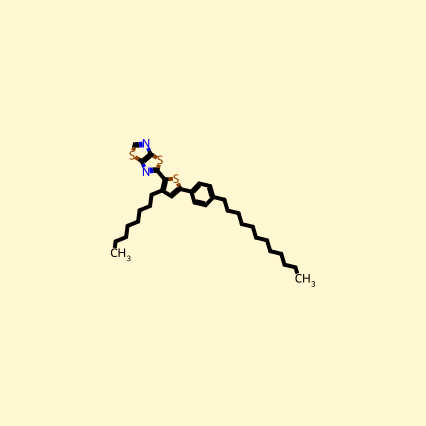 CCCCCCCCCCCCc1ccc(-c2cc(CCCCCCCC)c(-c3nc4scnc4s3)s2)cc1